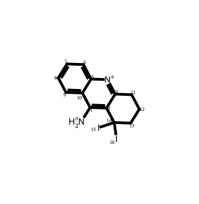 Nc1c2c(nc3ccccc13)CCCC2(I)I